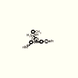 CCCCOCc1ccc(Oc2nc(Nc3ccc(N4CCN(CCC)CC4)cc3)ncc2C(=O)Nc2c(C)cccc2C)c(OC)c1